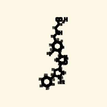 CCN1N=C(c2nc(-c3ccc(CNCCC(=O)O)cc3F)no2)CC1c1ccccc1